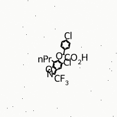 CCCc1c(OC(C(=O)O)c2ccc(Cl)cc2)c(Cl)cc2c(C(F)(F)F)noc12